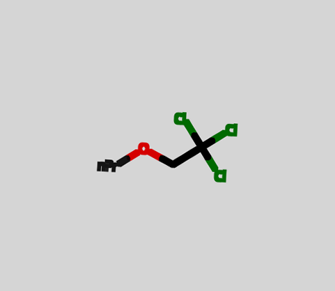 CCCOCC(Cl)(Cl)Cl